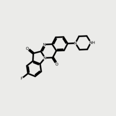 O=C1c2cc(F)ccc2-n2c1nc1ccc(N3CCNCC3)cc1c2=O